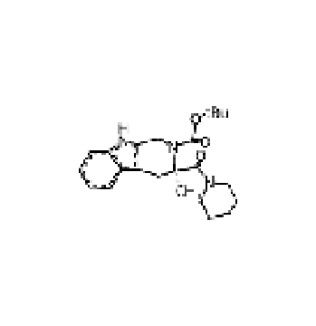 CC(C)(C)OC(=O)N1Cc2[nH]c3ccccc3c2C[C@]1(C)C(=O)N1CCCCC1